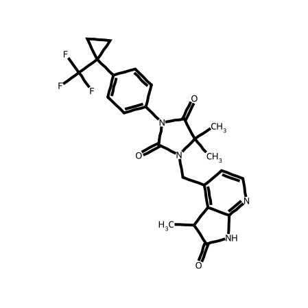 CC1C(=O)Nc2nccc(CN3C(=O)N(c4ccc(C5(C(F)(F)F)CC5)cc4)C(=O)C3(C)C)c21